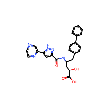 O=C(NC(Cc1ccc(-c2ccccc2)cc1)C[C@@H](O)C(=O)O)c1cc(-c2cnccn2)[nH]n1